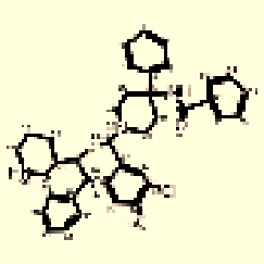 O=C(NC1(c2ccccc2)CCN(C(CC(C(=O)c2ccccc2)C2CCCNC2)c2ccc(Cl)c(Cl)c2)CC1)c1ccccc1